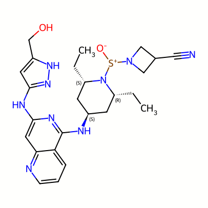 CC[C@@H]1C[C@@H](Nc2nc(Nc3cc(CO)[nH]n3)cc3ncccc23)C[C@H](CC)N1[S+]([O-])N1CC(C#N)C1